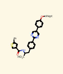 CCCCCCCOc1ccc(-c2cnc(-c3ccc(CC(NC(=O)c4csc(C(C)C)c4)C(=O)O)cc3)nc2)cc1